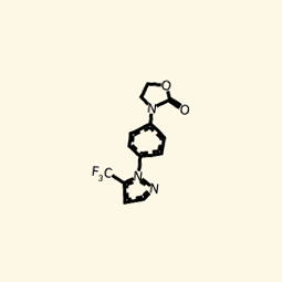 O=C1OCCN1c1ccc(-n2nccc2C(F)(F)F)cc1